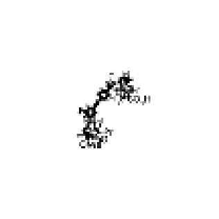 COC(=O)N[C@H](C(=O)N1[C@@H]2C[C@@H]2C[C@H]1c1nc2c(F)cc(C#Cc3ccc(-c4c[nH]c([C@@H]5C[C@H]6C[C@H]6N5C(=O)[C@H](C(C)C)N(C)C(=O)O)n4)cc3)cc2[nH]1)C(C)C